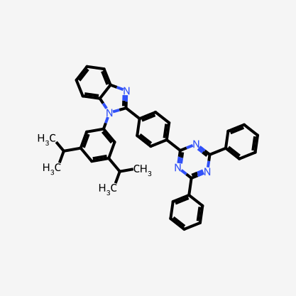 CC(C)c1cc(C(C)C)cc(-n2c(-c3ccc(-c4nc(-c5ccccc5)nc(-c5ccccc5)n4)cc3)nc3ccccc32)c1